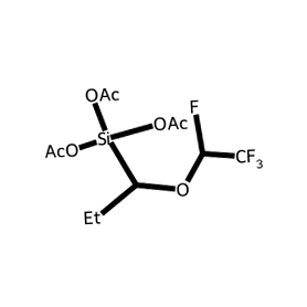 CCC(OC(F)C(F)(F)F)[Si](OC(C)=O)(OC(C)=O)OC(C)=O